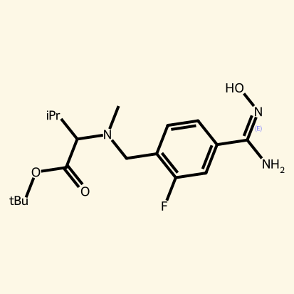 CC(C)C(C(=O)OC(C)(C)C)N(C)Cc1ccc(/C(N)=N\O)cc1F